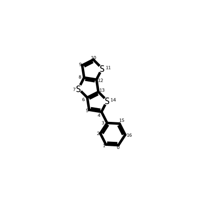 c1ccc(-c2cc3sc4ccsc4c3s2)cc1